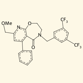 COCc1cc(-c2ccccc2)c2c(n1)OCCN(Cc1cc(C(F)(F)F)cc(C(F)(F)F)c1)C2=O